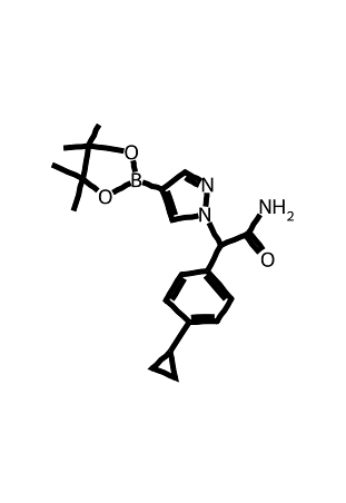 CC1(C)OB(c2cnn(C(C(N)=O)c3ccc(C4CC4)cc3)c2)OC1(C)C